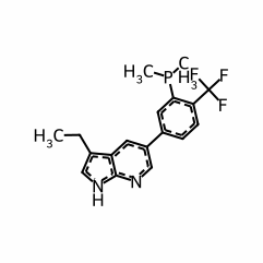 CCc1c[nH]c2ncc(-c3ccc(C(F)(F)F)c(P(C)C)c3)cc12